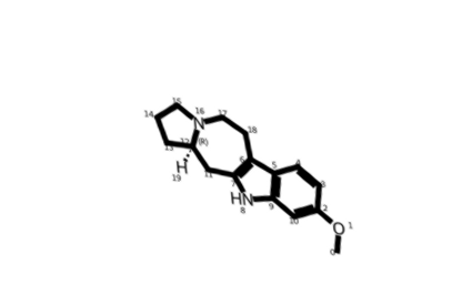 COc1ccc2c3c([nH]c2c1)C[C@H]1CCCN1CC3